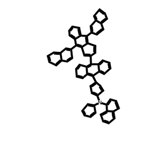 c1ccc(N(c2ccc(-c3c4ccccc4c(-c4ccc5c(-c6ccc7ccccc7c6)c6ccccc6c(-c6ccc7ccccc7c6)c5c4)c4ccccc34)cc2)c2cccc3ccccc23)cc1